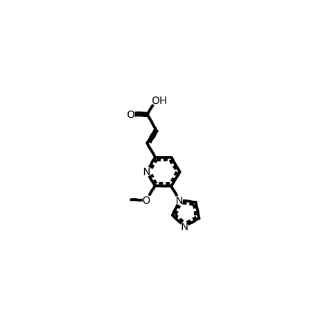 COc1nc(C=CC(=O)O)ccc1-n1ccnc1